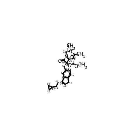 COCO[C@@]1(Cc2cc3c(cn2)CC[C@@H]3CCC2CC2)C(=O)N(COC)[C@H]1CC(C)C